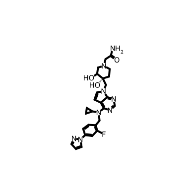 NC(=O)CN1CC[C@@](O)(Cn2ccc3c(N(Cc4ccc(-n5cccn5)cc4F)C4CC4)ncnc32)C(O)C1